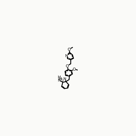 COc1ccc(COc2ccc(CC3(N)C=CC=CC3N)cc2OC)cn1